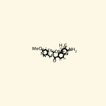 CCC(OC)N(Cc1ccc(OC)nn1)C(=O)c1ccc2nc(N)c(C)cc2c1